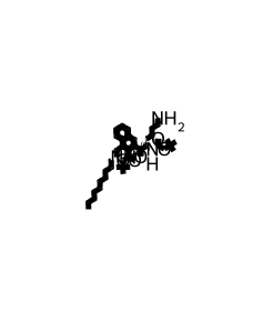 CCCCCCCCCCNCc1c(C(=O)OC(C)(C)C)c(C(=O)[C@H](CCCCN)NC(=O)OC(C)(C)C)cc2ccccc12